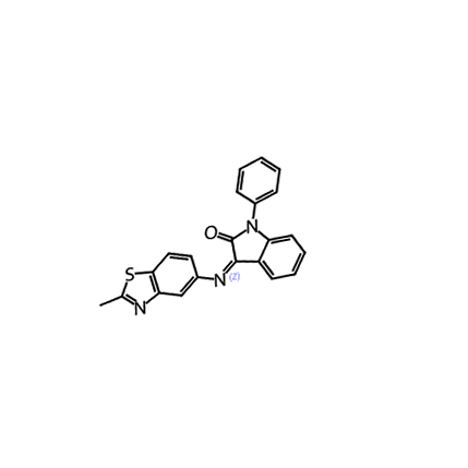 Cc1nc2cc(/N=C3\C(=O)N(c4ccccc4)c4ccccc43)ccc2s1